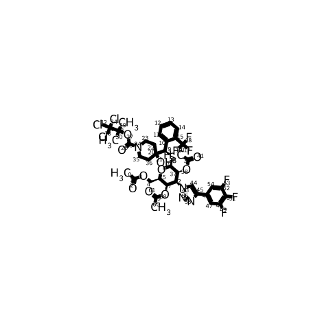 CC(=O)OC[C@H]1O[C@@H](S[C@H](c2ccccc2C(F)(F)F)C2(O)CCN(C(=O)OC(C)(C)C(Cl)(Cl)Cl)CC2)[C@H](OC(C)=O)[C@@H](n2cc(-c3cc(F)c(F)c(F)c3)nn2)[C@H]1OC(C)=O